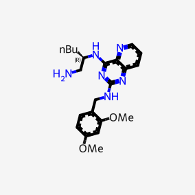 CCCC[C@H](CN)Nc1nc(NCc2ccc(OC)cc2OC)nc2cccnc12